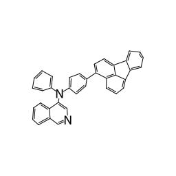 c1ccc(N(c2ccc(-c3ccc4c5c(cccc35)-c3ccccc3-4)cc2)c2cncc3ccccc23)cc1